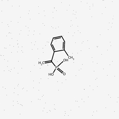 C=C(c1ccccc1C)P(=O)(O)O